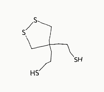 SCC1(CS)CSSC1